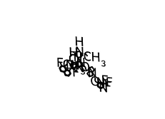 CC[C@@H]1CN2c3nc(OC[C@@]45CCCN4[C@H](COc4ccnc(C(F)(F)F)n4)CC5)nc4c(F)c(-c5cccc6ccc(F)c(C)c56)nc(c34)CCC[C@@H]2CN1